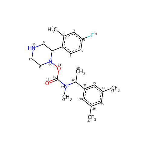 Cc1cc(F)ccc1C1CNCCN1OC(=O)N(C)C(C)c1cc(C(F)(F)F)cc(C(F)(F)F)c1